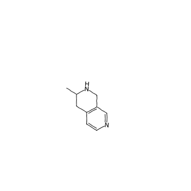 CC1Cc2ccncc2CN1